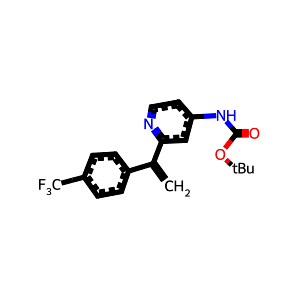 C=C(c1ccc(C(F)(F)F)cc1)c1cc(NC(=O)OC(C)(C)C)ccn1